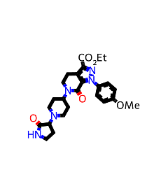 CCOC(=O)c1nn(-c2ccc(OC)cc2)c2c1CCN(C1CCN(C3CCNC3=O)CC1)C2=O